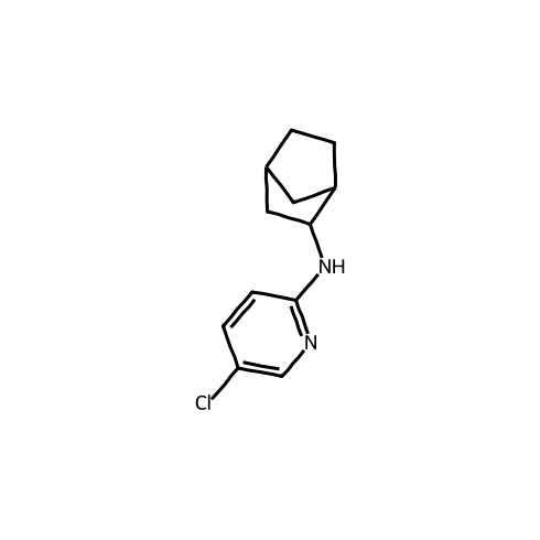 Clc1ccc(NC2CC3CCC2C3)nc1